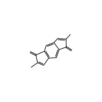 C=C1C(C)=Cc2cc3c(cc21)C=C(C)C3=C